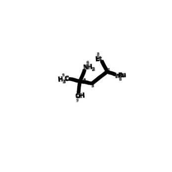 CCCCC(CC)CC(C)(N)O